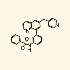 O=S(=O)(Nc1cccc(-c2cc(Cc3ccncc3)cc3cccnc23)c1)c1ccccc1